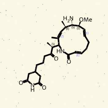 CO[C@H]1/C=C/CC/C=C/C(=O)NC([C@H](C)C(=O)CCCC2CC(=O)NC(=O)C2)/C(C)=C\[C@@H](C)[C@@H]1N